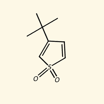 CC(C)(C)C1=CS(=O)(=O)C=C1